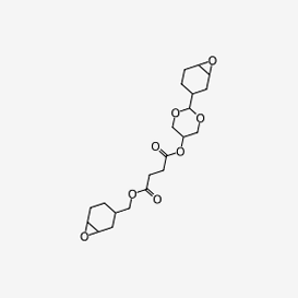 O=C(CCC(=O)OC1COC(C2CCC3OC3C2)OC1)OCC1CCC2OC2C1